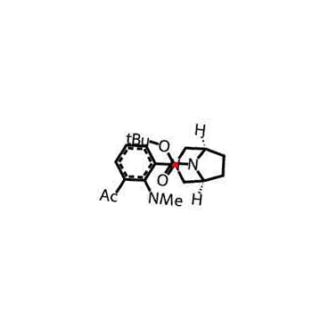 CNc1c(C(C)=O)cccc1N1C[C@H]2CC[C@@H](C1)N2C(=O)OC(C)(C)C